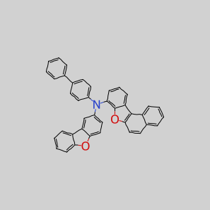 c1ccc(-c2ccc(N(c3ccc4oc5ccccc5c4c3)c3cccc4c3oc3ccc5ccccc5c34)cc2)cc1